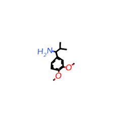 COc1ccc(C(N)C(C)C)cc1OC